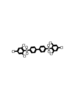 O=S(=O)(c1ccc(-c2ccc(S(=O)(=O)c3c(Cl)cc(Cl)cc3Cl)cc2)cc1)c1c(Cl)cc(Cl)cc1Cl